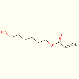 C=CC(=O)OCCCCCCO